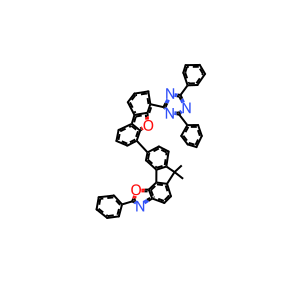 CC1(C)c2ccc(-c3cccc4c3oc3c(-c5nc(-c6ccccc6)nc(-c6ccccc6)n5)cccc34)cc2-c2c1ccc1nc(-c3ccccc3)oc21